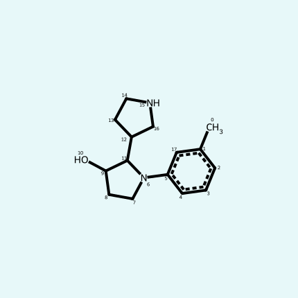 Cc1cccc(N2CCC(O)C2C2CCNC2)c1